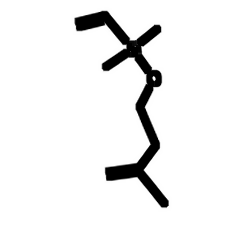 C=C[Si](C)(C)OCCC(=C)C